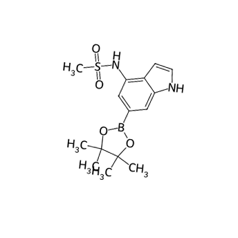 CC1(C)OB(c2cc(NS(C)(=O)=O)c3cc[nH]c3c2)OC1(C)C